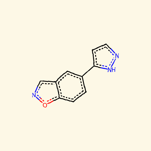 c1cc(-c2ccc3oncc3c2)[nH]n1